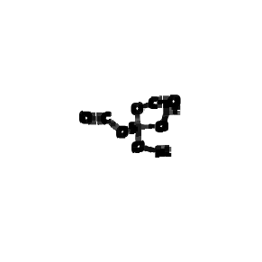 CCO[Si](OC=O)(OC=O)OCC